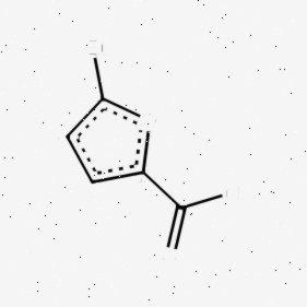 CCc1ccc(C(=O)Cl)o1